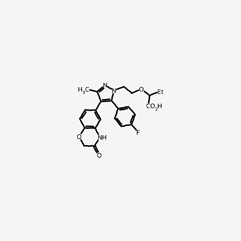 CCC(OCCn1nc(C)c(-c2ccc3c(c2)NC(=O)CO3)c1-c1ccc(F)cc1)C(=O)O